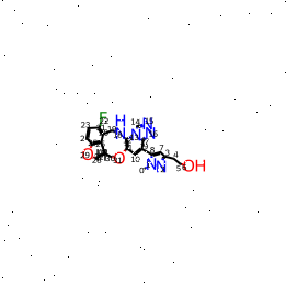 Cn1nc(CCO)cc1-c1cc2c(n3cnnc13)NCc1c(F)ccc3c1[C@@H](CO3)CO2